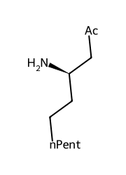 CCCCCCC[C@@H](N)CC(C)=O